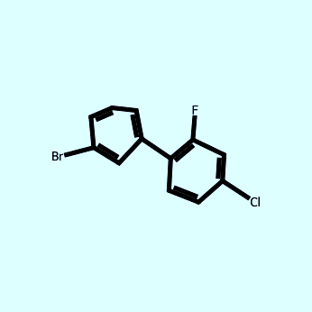 Fc1cc(Cl)ccc1-c1cccc(Br)c1